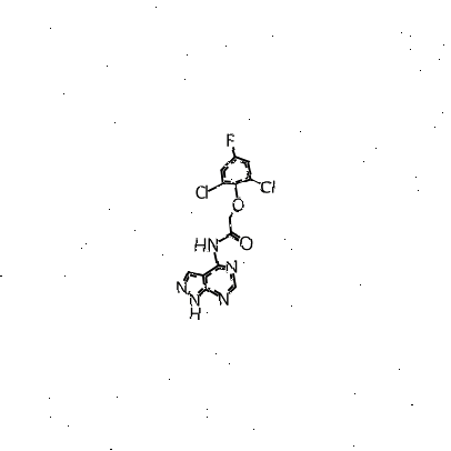 O=C(COc1c(Cl)cc(F)cc1Cl)Nc1ncnc2[nH]ncc12